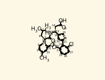 Cc1ccn([C@@H](CC(C)C)C(=O)N[C@@H](CC(=O)O)c2csc(-c3c(Cl)cccc3Cl)c2)c(=O)c1